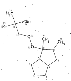 CC1CC2CCCC2C1(C)OOCC(C)(C(C)C)C(C)(C)C